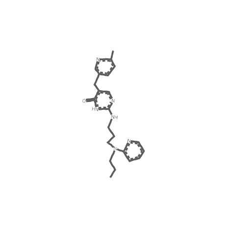 CCCN(CCCNc1ncc(Cc2ccc(C)nc2)c(=O)[nH]1)c1ccccn1